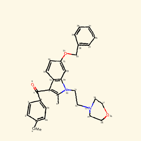 COc1ccc(C(=O)c2c(C)n(CCN3CCOCC3)c3cc(OCc4ccccc4)ccc23)cc1